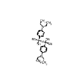 CCN(CC)c1ccc([C](S)(S)[Pd][C](S)(S)c2ccc(N(CC)CC)cc2)cc1